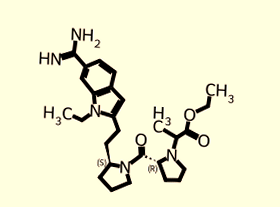 CCOC(=O)C(C)N1CCC[C@@H]1C(=O)N1CCC[C@H]1CCc1cc2ccc(C(=N)N)cc2n1CC